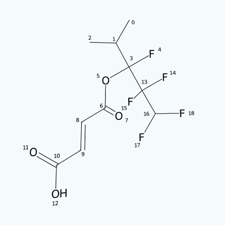 CC(C)C(F)(OC(=O)C=CC(=O)O)C(F)(F)C(F)F